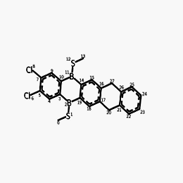 CSB1c2cc(Cl)c(Cl)cc2B(SC)c2cc3c(cc21)Cc1ccccc1C3